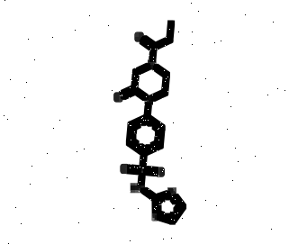 CCC(=O)N1CCN(c2ccc(S(=O)(=O)Nc3nccs3)cc2)C(=O)C1